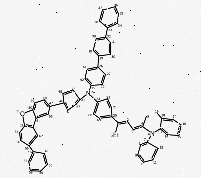 CC/C(=C\C=C(/C)N(c1ccccc1)c1ccccc1C)c1ccc(N(c2ccc(-c3ccc(-c4ccccc4)cc3)cc2)c2ccc(-c3ccc4oc5ccc(-c6ccccc6)cc5c4c3)cc2)cc1